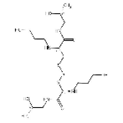 C[C@H](O)CNC(=O)[C@@H](NCCCO)SSSC[C@H](NCCCO)C(=O)NC[C@@H](C)O